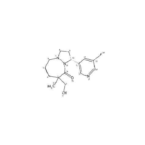 CC1(CC#N)CCCN2CC[C@H](c3cncc(F)c3)N2C1=O